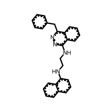 c1ccc(Cc2nnc(NCCNc3cccc4ccccc34)c3ccccc23)cc1